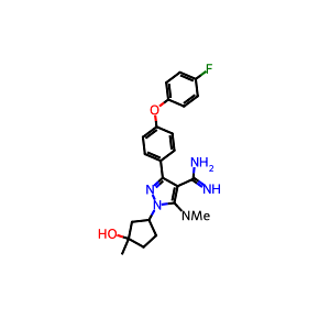 CNc1c(C(=N)N)c(-c2ccc(Oc3ccc(F)cc3)cc2)nn1C1CCC(C)(O)C1